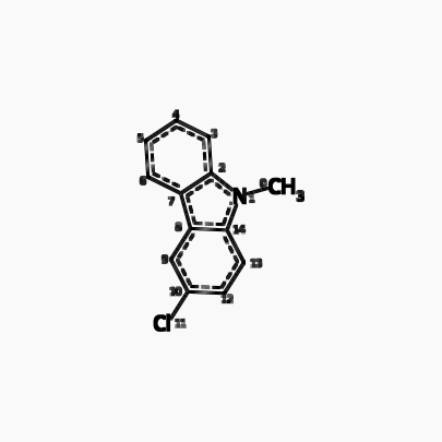 Cn1c2ccccc2c2cc(Cl)ccc21